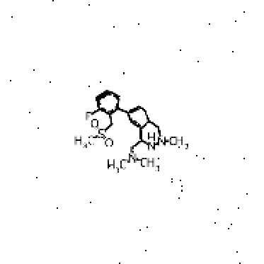 CN(C)CC1NN(C)CC2CC=C(c3cc#cc(F)c3CS(C)(=O)=O)C=C21